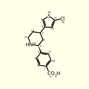 O=C(O)c1ccc([C@@H]2CC(c3csc(Cl)c3)CCN2)cc1